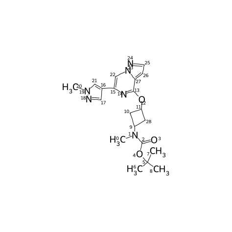 CN(C(=O)OC(C)(C)C)C1CC(Oc2nc(-c3cnn(C)c3)cn3nccc23)C1